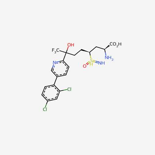 N=[SH](=O)[C@@H](CCC(O)(c1ccc(-c2ccc(Cl)cc2Cl)cn1)C(F)(F)F)C[C@H](N)C(=O)O